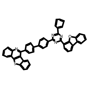 c1ccc(-c2nc(-c3ccc(-c4ccc(-c5nc6ccccc6c6sc7ccccc7c56)cc4)cc3)nc(-c3cccc4c3oc3ccccc34)n2)cc1